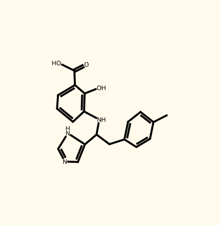 Cc1ccc(CC(Nc2cccc(C(=O)O)c2O)c2cnc[nH]2)cc1